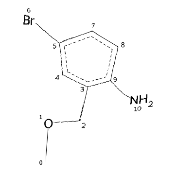 COCc1cc(Br)ccc1N